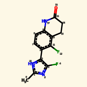 Cc1nc(F)c(-c2ccc3c(c2F)CCC(=O)N3)[nH]1